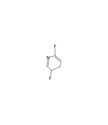 FC1=CCC(F)C=N1